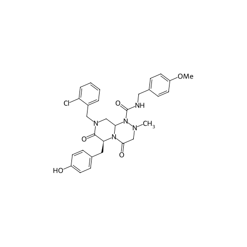 COc1ccc(CNC(=O)N2C3CN(Cc4ccccc4Cl)C(=O)[C@H](Cc4ccc(O)cc4)N3C(=O)CN2C)cc1